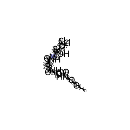 CCCCOCCOCCNC(=O)c1ccc(CNC(=O)c2ccc(C(=O)N/N=C(\C)c3csc(-c4ccc(Cl)c(Cl)c4)c3O)s2)cc1